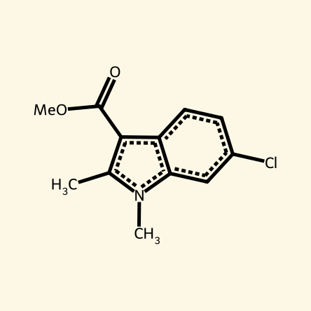 COC(=O)c1c(C)n(C)c2cc(Cl)ccc12